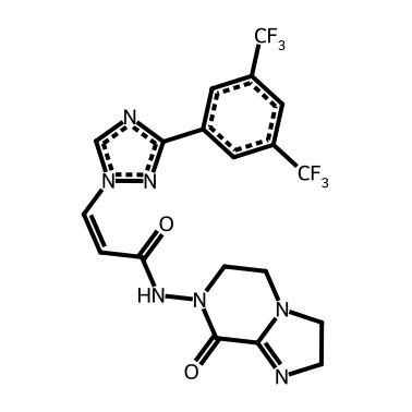 O=C(/C=C\n1cnc(-c2cc(C(F)(F)F)cc(C(F)(F)F)c2)n1)NN1CCN2CCN=C2C1=O